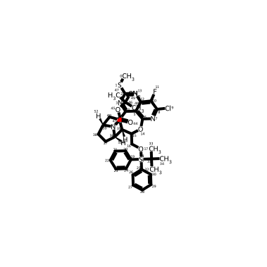 CSc1nc2c3c(nc(Cl)c(F)c3n1)OC(CO[Si](c1ccccc1)(c1ccccc1)C(C)(C)C)[C@@H]1[C@@H]3CC[C@H](CN21)N3C(=O)OC(C)(C)C